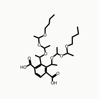 CCCCOC(C)OC(C)OC(C)c1c(C(=O)O)ccc(C(=O)O)c1C(C)OC(C)OC(C)OCCCC